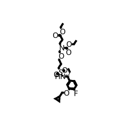 CCOC(=O)CCN(COCCCS(=O)(=O)N[C@H](CC)c1ccc(F)c(OCC2CC2)c1)C(=O)OCC